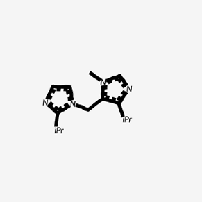 CC(C)c1ncn(C)c1Cn1ccnc1C(C)C